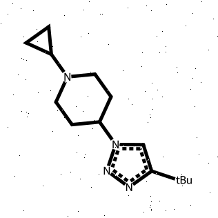 CC(C)(C)c1cn(C2CCN(C3CC3)CC2)nn1